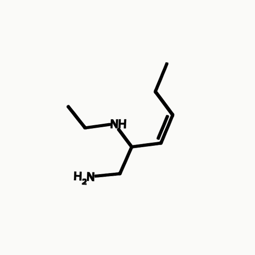 CC/C=C\C(CN)NCC